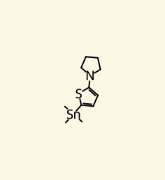 [CH3][Sn]([CH3])([CH3])[c]1ccc(N2CCCC2)s1